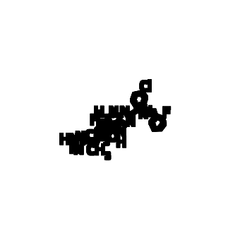 CC(C)(Cc1csc([C@]2(C)C(=O)Nc3nc(-c4nn(Cc5ccccc5F)c5cc(Cl)ccc45)nc(N)c32)n1)c1nn[nH]n1